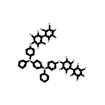 Fc1c(F)c(F)c(-c2c(F)c(F)c(Oc3ccc(N(c4ccccc4)c4ccc(N(c5ccccc5)c5ccc(Oc6c(F)c(F)c(-c7c(F)c(F)c(F)c(F)c7F)c(F)c6F)cc5)cc4)cc3)c(F)c2F)c(F)c1F